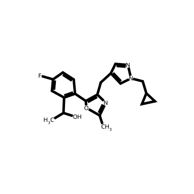 Cc1nc(Cc2cnn(CC3CC3)c2)c(-c2ccc(F)cc2C(C)O)o1